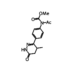 COC(=O)N(C(C)=O)c1ccc(C2=NNC(=O)CC2C)cc1